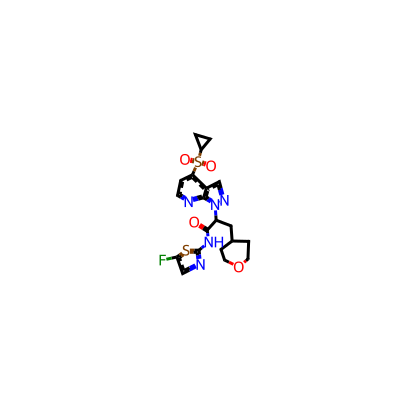 O=C(Nc1ncc(F)s1)C(CC1CCOCC1)n1ncc2c(S(=O)(=O)C3CC3)ccnc21